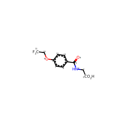 O=C(O)CNC(=O)c1ccc(OCC(F)(F)F)cc1